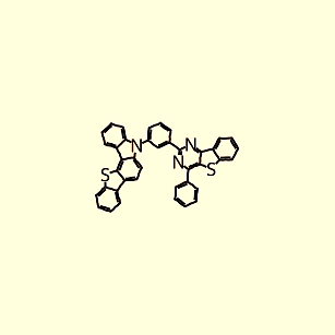 c1ccc(-c2nc(-c3cccc(-n4c5ccccc5c5c6sc7ccccc7c6ccc54)c3)nc3c2sc2ccccc23)cc1